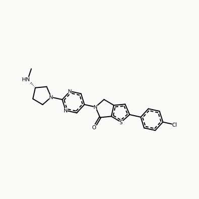 CN[C@H]1CCN(c2ncc(N3Cc4cc(-c5ccc(Cl)cc5)sc4C3=O)cn2)C1